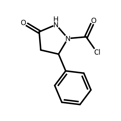 O=C1CC(c2ccccc2)N(C(=O)Cl)N1